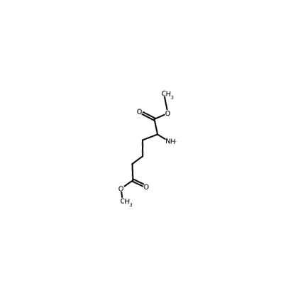 COC(=O)CCCC([NH])C(=O)OC